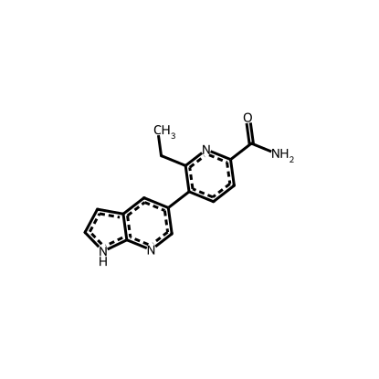 CCc1nc(C(N)=O)ccc1-c1cnc2[nH]ccc2c1